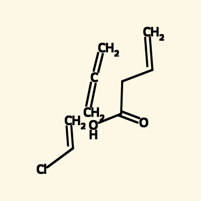 C=C=C.C=CCC(=O)O.C=CCl